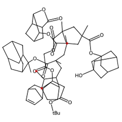 CC1C2CCC(C2)C1CC(C)(CC(C)(CC(C)(CC(C)(C)C(=O)OCC(=O)OC(CC(=O)OC(C)(C)C)C1CC2C=CC1C2)C(=O)OC12CC3CC(CC(O)(C3)C1)C2)C(=O)OC1C2CC3C(=O)OC1C3C2)C(=O)OC1(C)C2CC3CC(C2)CC1C3